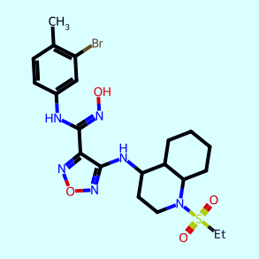 CCS(=O)(=O)N1CCC(Nc2nonc2/C(=N/O)Nc2ccc(C)c(Br)c2)C2CCCCC21